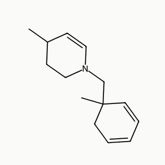 CC1C=CN(CC2(C)C=CC=CC2)CC1